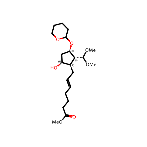 COC(=O)CCCC=CC[C@@H]1[C@@H](C(OC)OC)[C@H](OC2CCCCO2)C[C@@H]1O